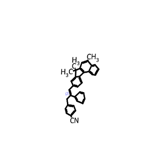 Cc1cc2c(c3ccccc13)-c1ccc(/C=C(/Cc3ccc(C#N)cc3)c3ccccc3)cc1C2(C)C